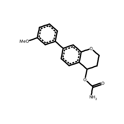 COc1cccc(-c2ccc3c(c2)OCCC3OC(N)=O)c1